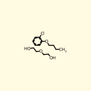 CCCCOc1ccccc1Cl.OCCOCCO